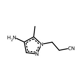 Cc1c(N)cnn1CCC#N